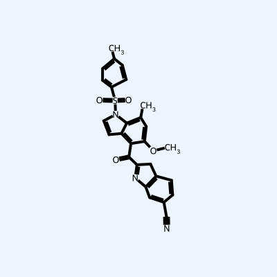 COc1cc(C)c2c(ccn2S(=O)(=O)c2ccc(C)cc2)c1C(=O)C1=Nc2cc(C#N)ccc2C1